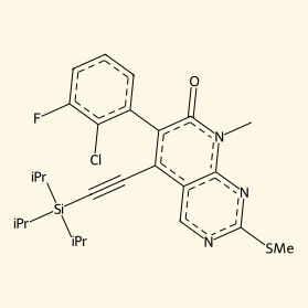 CSc1ncc2c(C#C[Si](C(C)C)(C(C)C)C(C)C)c(-c3cccc(F)c3Cl)c(=O)n(C)c2n1